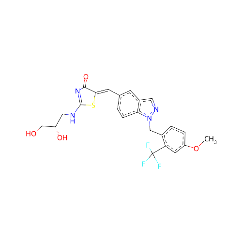 COc1ccc(Cn2ncc3cc(/C=C4\SC(NC[C@H](O)CO)=NC4=O)ccc32)c(C(F)(F)F)c1